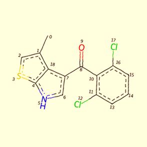 Cc1csc2[nH]cc(C(=O)c3c(Cl)cccc3Cl)c12